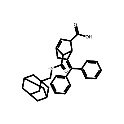 O=C(O)C1C=C2CC(=C(c3ccccc3)c3ccccc3)C1C2C(=O)NCC12CC3CC(CC(C3)C1)C2